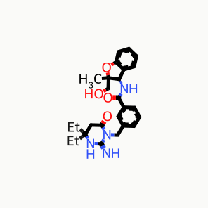 CCC1(CC)CC(=O)N(Cc2cccc(C(=O)N[C@@H]3c4ccccc4OC3(C)CO)c2)C(=N)N1